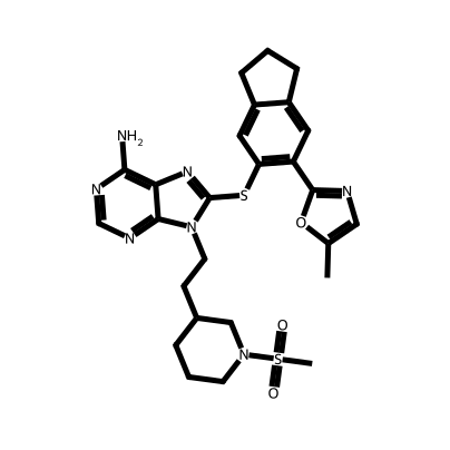 Cc1cnc(-c2cc3c(cc2Sc2nc4c(N)ncnc4n2CCC2CCCN(S(C)(=O)=O)C2)CCC3)o1